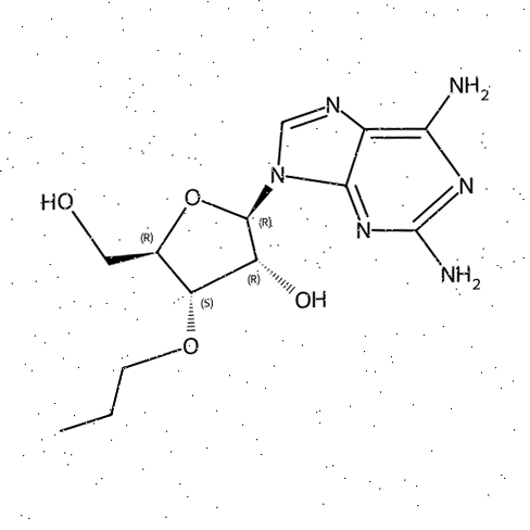 CCCO[C@H]1[C@@H](O)[C@H](n2cnc3c(N)nc(N)nc32)O[C@@H]1CO